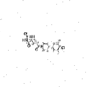 Cc1cc(C2CCN(C(=O)CC[C@@]3(C)NC(=O)NC3=O)CC2)cc(C)c1Cl